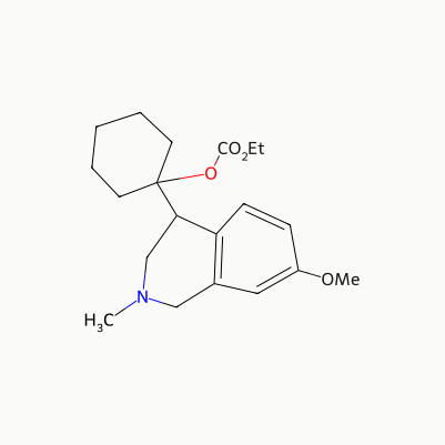 CCOC(=O)OC1(C2CN(C)Cc3cc(OC)ccc32)CCCCC1